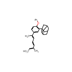 CC(C=CC=C(C)c1ccc(OC(C)C)c(C23CC4CC(CC(C4)C2)C3)c1)=CC(=O)O